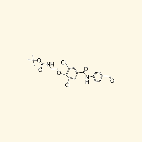 CC(C)(C)OC(=O)NCCOc1c(Cl)cc(C(=O)Nc2ccc(C=O)cc2)cc1Cl